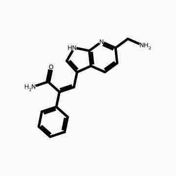 NCc1ccc2c(C=C(C(N)=O)c3ccccc3)c[nH]c2n1